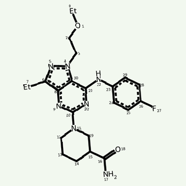 CCOCCn1nc(CC)c2nc(N3CCCC(C(N)=O)C3)nc(Nc3ccc(F)cc3)c21